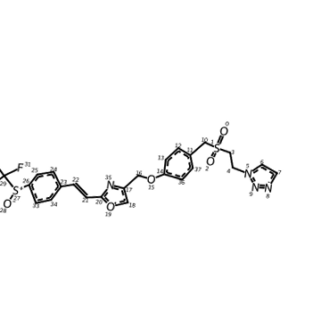 O=S(=O)(CCn1ccnn1)Cc1ccc(OCc2coc(C=Cc3ccc([S+]([O-])C(F)(F)F)cc3)n2)cc1